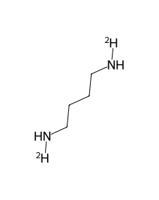 [2H]NCCCCN[2H]